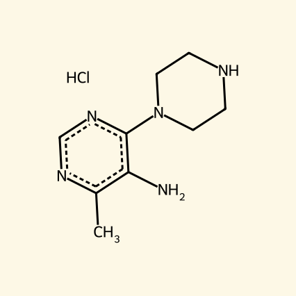 Cc1ncnc(N2CCNCC2)c1N.Cl